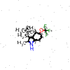 Cc1[nH]c2ccc(OC(F)(F)F)cc2c1[SiH2][Si](C)(C)C